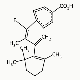 C=C(C(C)=C(F)c1ccc(C(=O)O)cc1)C1=C(C)CCCC1(C)C